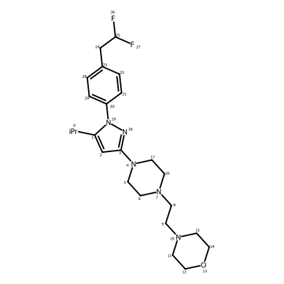 CC(C)c1cc(N2CCN(CCN3CCOCC3)CC2)nn1-c1ccc(CC(F)F)cc1